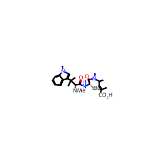 CN[C@H](C(=O)N[C@H](C(=O)N(C)C(C)/C=C(\C)C(=O)O)C(C)(C)C)C(C)(C)c1cn(C)c2ccccc12